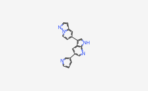 c1cncc(-c2cnc3[nH]cc(-c4ccn5nccc5c4)c3c2)c1